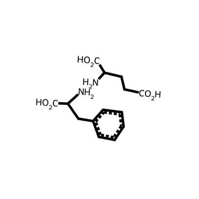 NC(CCC(=O)O)C(=O)O.NC(Cc1ccccc1)C(=O)O